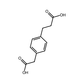 O=C(O)CCc1ccc(CC(=O)O)cc1